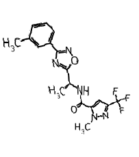 Cc1cccc(-c2noc([C@H](C)NC(=O)c3cc(C(F)(F)F)nn3C)n2)c1